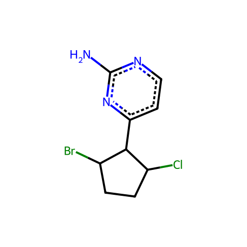 Nc1nccc(C2C(Cl)CCC2Br)n1